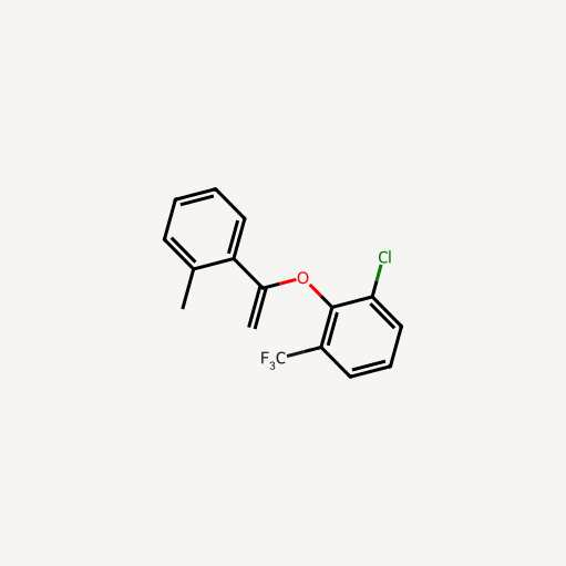 C=C(Oc1c(Cl)cccc1C(F)(F)F)c1ccccc1C